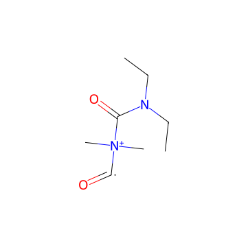 CCN(CC)C(=O)[N+](C)(C)[C]=O